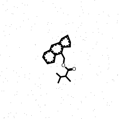 CC(C)C(C)C(=O)OCc1c2ccccc2cc2ccccc12